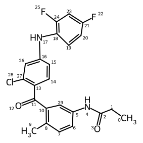 CCC(=O)Nc1ccc(C)c(C(=O)c2ccc(Nc3ccc(F)cc3F)cc2Cl)c1